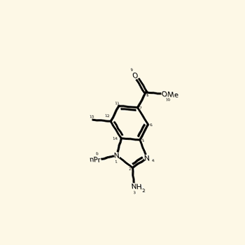 CCCn1c(N)nc2cc(C(=O)OC)cc(C)c21